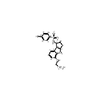 O=C(O)COc1cccc2c1OC1CCC(OS(=O)(=O)c3ccc(I)cc3)C21